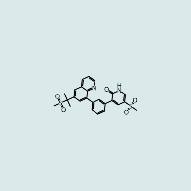 CC(C)(c1cc(-c2cccc(-c3cc(S(C)(=O)=O)c[nH]c3=O)c2)c2ncccc2c1)S(C)(=O)=O